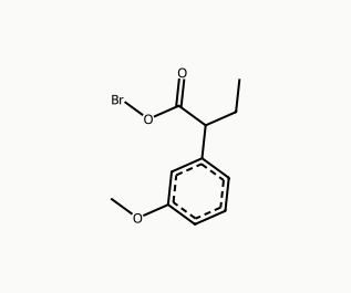 CCC(C(=O)OBr)c1cccc(OC)c1